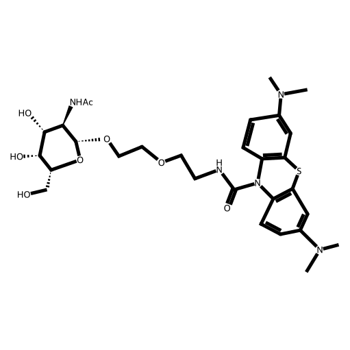 CC(=O)N[C@H]1[C@H](OCCOCCNC(=O)N2c3ccc(N(C)C)cc3Sc3cc(N(C)C)ccc32)O[C@H](CO)[C@H](O)[C@@H]1O